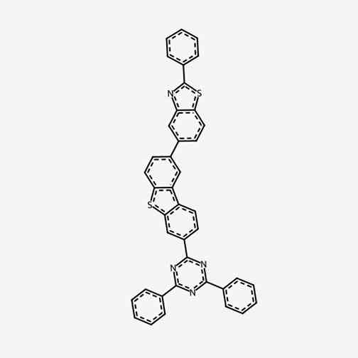 c1ccc(-c2nc(-c3ccccc3)nc(-c3ccc4c(c3)sc3ccc(-c5ccc6sc(-c7ccccc7)nc6c5)cc34)n2)cc1